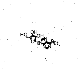 CCN(C)c1ncnc2c1ncn2O[C@@H]1O[C@H](CO)[C@@H](O)[C@@H]1O